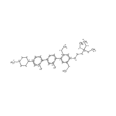 CCc1cc(-c2ccc(-c3ccc(C4CCC(C)CC4)cc3F)cc2F)c(CC)cc1OCCC(CC)(CC)CC